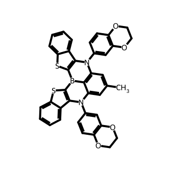 Cc1cc2c3c(c1)N(c1ccc4c(c1)OCCO4)c1c(sc4ccccc14)B3c1sc3ccccc3c1N2c1ccc2c(c1)OCCO2